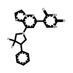 O=c1[nH]cc(-c2cc(N3CC(c4ccccc4)C(F)(F)C3)c3nccn3n2)c(=O)[nH]1